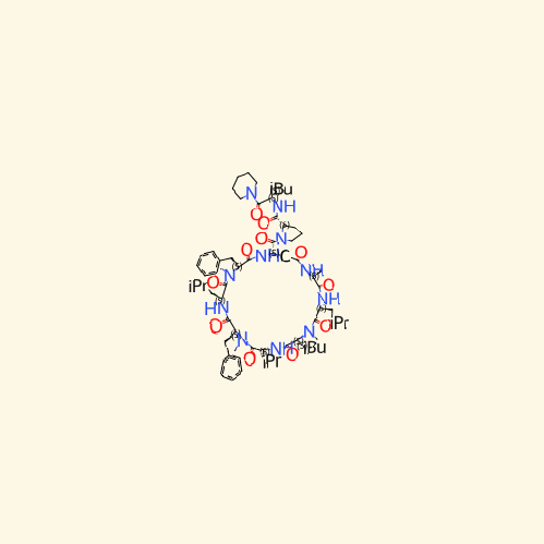 CC[C@H](C)[C@H](NC(=O)[C@@H]1CCCN1C(=O)[C@@H]1CC(=O)N[C@@H](C)C(=O)N[C@@H](CC(C)C)C(=O)N(C)[C@@H]([C@@H](C)CC)C(=O)N[C@@H](C(C)C)C(=O)N(C)[C@@H](Cc2ccccc2)C(=O)N[C@@H](CC(C)C)C(=O)N(C)[C@@H](Cc2ccccc2)C(=O)N1)C(=O)N1CCCCC1